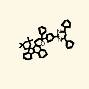 CC1(C)CC(C)(C)CC2(C1)c1ccccc1-c1c2c2c(c3ccccc13)OC(c1ccccc1)(c1ccc(-c3nc(-c4ccccc4)cc(-c4ccccc4)n3)cc1)C=C2